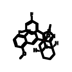 COc1cccc2ncc(C(=O)N3[C@H]4CCC[C@@H]3c3nn(C)c(-c5cc(F)cc(F)c5)c3C4)cc12